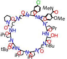 CCCCN1CC(=O)N(C)[C@@H](CC(C)C)C(=O)N(C)[C@@H](CC(C)C)C(=O)N[C@@H](COC(C)(C)C)C(=O)N(C)[C@@H](CC(C)C)C(=O)N[C@H](C(=O)N2CCCCC2)CC(=O)N(C)CC(=O)N(C)[C@@H](Cc2cccc(Cl)c2)C(=O)N[C@@H](Cc2ccc(OC)c(C(=O)NC)c2)C(=O)N(C)[C@@H](CC(C)C)C(=O)N[C@@H]([C@@H](C)O)C1=O